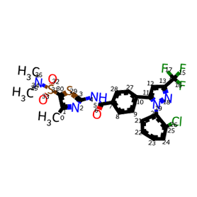 Cc1nc(NC(=O)c2ccc(-c3cc(C(F)(F)F)nn3-c3ccccc3Cl)cc2)sc1S(=O)(=O)N(C)C